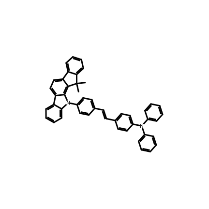 CC1(C)c2ccccc2-c2ccc3c4ccccc4n(-c4ccc(/C=C/c5ccc(N(c6ccccc6)c6ccccc6)cc5)cc4)c3c21